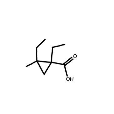 CCC1(C)CC1(CC)C(=O)O